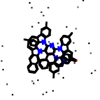 Cc1ccc2c(c1)c1cc(C)ccc1n2-c1nc(-n2c3ccc(C)cc3c3cc(C)ccc32)c(-n2c3ccccc3c3cc4ccccc4cc32)c(-c2ccccc2-c2ccncc2)c1-n1c2ccc(C)cc2c2cc(C)ccc21